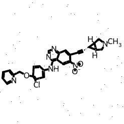 CN1C[C@@H]2[C@@H](C#Cc3cc4ncnc(Nc5ccc(OCc6ccccn6)c(Cl)c5)c4cc3[N+](=O)[O-])[C@@H]2C1